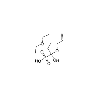 C=CCOC(O)(CC)S(=O)(=O)O.CCOCC